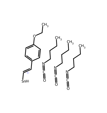 CCCCN=C=O.CCCCN=C=O.CCCCN=C=O.CCOc1ccc(/C=[CH]/[SnH])cc1